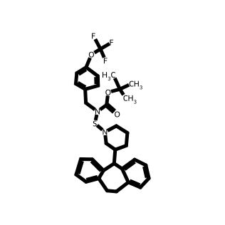 CC(C)(C)OC(=O)N(Cc1ccc(OC(F)(F)F)cc1)SN1CCCC(C2c3ccccc3CCc3ccccc32)C1